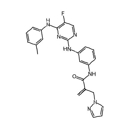 C=C(Cn1cccn1)C(=O)Nc1cccc(Nc2ncc(F)c(Nc3cccc(C)c3)n2)c1